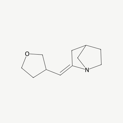 C(=C1CC2CCN1C2)C1CCOC1